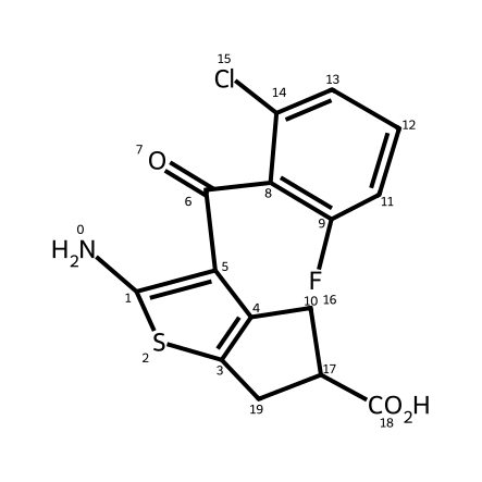 Nc1sc2c(c1C(=O)c1c(F)cccc1Cl)CC(C(=O)O)C2